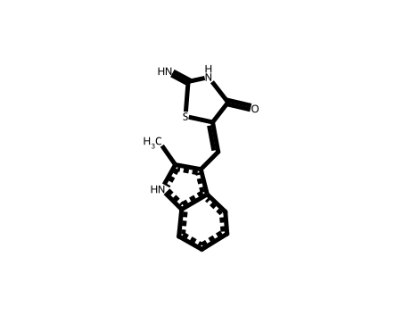 Cc1[nH]c2ccccc2c1C=C1SC(=N)NC1=O